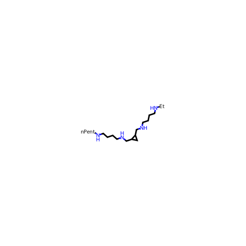 CCCCCNCCCCNCC1CC1CNCCCCNCC